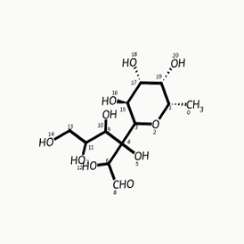 C[C@@H]1OC(C(O)(C(O)C=O)C(O)C(O)CO)[C@@H](O)[C@H](O)[C@@H]1O